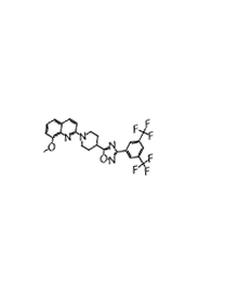 COc1cccc2ccc(N3CCC(c4nc(-c5cc(C(F)(F)F)cc(C(F)(F)F)c5)no4)CC3)nc12